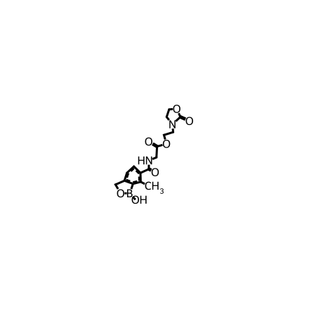 Cc1c(C(=O)NCC(=O)OCCN2CCOC2=O)ccc2c1B(O)OC2